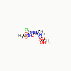 Cc1sc(C(=O)Nc2cc(Cl)cc(NS(C)(=O)=O)c2)cc1-c1ncc(OC(C)C(=O)O)cn1